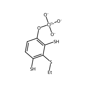 CCSc1c(S)ccc(O[Cl+3]([O-])([O-])[O-])c1S